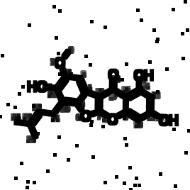 COc1cc2c(oc3oc4cc(O)cc(O)c4c(=O)c32)c(CC=C(C)C)c1O